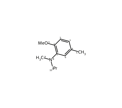 COc1ccc(C)cc1N(C)C(C)C